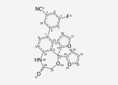 N#Cc1cc(F)cc(-c2ccc3c(c2)C(c2ccco2)(c2ccco2)OCC(=O)N3)c1